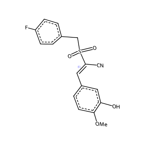 COc1ccc(/C=C(\C#N)S(=O)(=O)Cc2ccc(F)cc2)cc1O